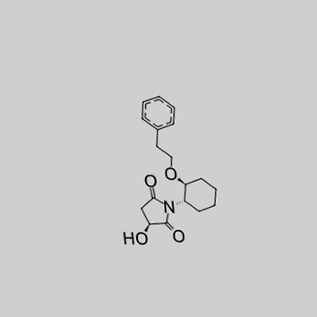 O=C1C[C@H](O)C(=O)N1[C@H]1CCCC[C@@H]1OCCc1ccccc1